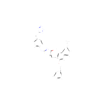 O=C1N=C(Nc2ccc(CC3N=NN=N3)cc2)S/C1=C/c1cc2ccccc2cc1OCc1ccccc1.[NaH]